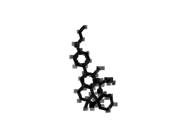 CCCOc1ccc(-c2cc3c(cc2F)[C@@](OC(N)=O)([C@@H]2CN4CCC2CC4)C(C)(C)CC3)cc1